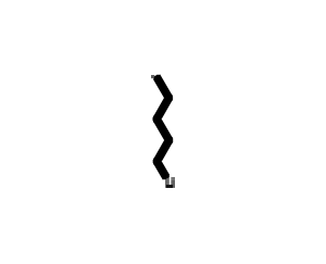 [Li][CH2]CCC[CH2]